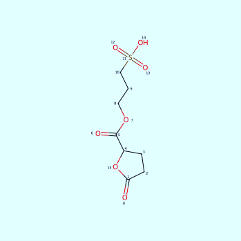 O=C1CCC(C(=O)OCCCS(=O)(=O)O)O1